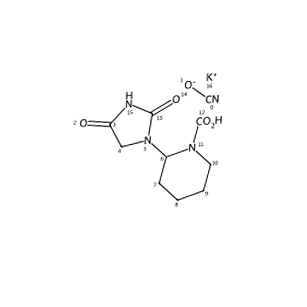 N#C[O-].O=C1CN(C2CCCCN2C(=O)O)C(=O)N1.[K+]